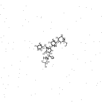 CCc1cc(-c2nc(-c3cc(C(=O)NCC(C)C)c(C)n3Cc3cccs3)cs2)ccn1